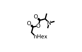 CCCCCCCC(=O)OC(=O)C(C)N(C)C